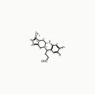 O=CCCC(c1cc(F)c(F)cc1F)N1CCn2c(nnc2C(F)(F)F)C1